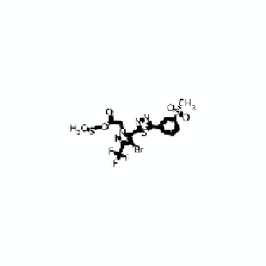 CSCOC(=O)Cn1nc(C(F)(F)F)c(Br)c1-c1nnc(-c2cccc(S(C)(=O)=O)c2)s1